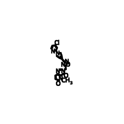 Cn1c(=O)ccc2ncn(Cc3nc(C4C5CN(c6cc(Cl)ccn6)CC54)no3)c(=O)c21